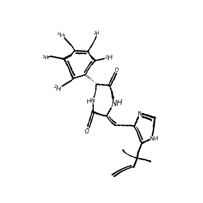 [2H]c1c([2H])c([2H])c([C@H]2NC(=O)/C(=C/c3nc[nH]c3C(C)(C)C=C)NC2=O)c([2H])c1[2H]